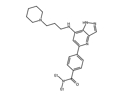 CCN(CC)C(=O)c1ccc(-c2cc(NCCCN3CCCCC3)c3[nH]ncc3n2)cc1